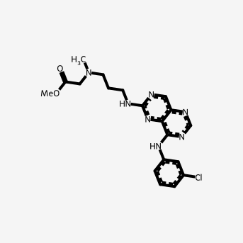 COC(=O)CN(C)CCCNc1ncc2ncnc(Nc3cccc(Cl)c3)c2n1